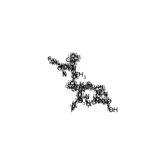 CN1CCC[C@H]1COc1nc2c(c(N3CCN(C(=O)C#CCO)[C@@H](CC#N)C3)n1)CCN(c1cc(C3C[C@@H](COc4nc5c(c(N6CCN(C(=O)/C=C/CN7CC(F)C7)[C@@H](CC#N)C6)n4)CCN(c4cc(C6C[C@@H](COc7nc8c(c(N9CCN(C(=O)/C=C/CN%10CCC(F)C%10)[C@@H](CC#N)C9)n7)CCN(c7cccc9cccc(Cl)c79)C8)N(C)C6)cc6cccc(Cl)c46)C5)N(C)C3)cc3cccc(Cl)c13)C2